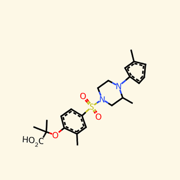 Cc1cccc(N2CCN(S(=O)(=O)c3ccc(OC(C)(C)C(=O)O)c(C)c3)CC2C)c1